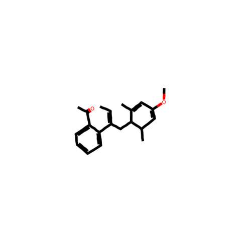 CC=C(CC1C(C)=CC(OC)=CC1C)c1ccccc1C(C)=O